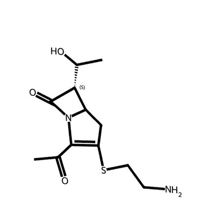 CC(=O)C1=C(SCCN)CC2[C@@H](C(C)O)C(=O)N12